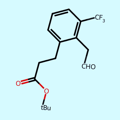 CC(C)(C)OC(=O)CCc1cccc(C(F)(F)F)c1CC=O